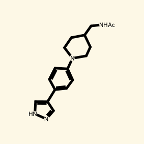 CC(=O)NCC1CCN(c2ccc(-c3cn[nH]c3)cc2)CC1